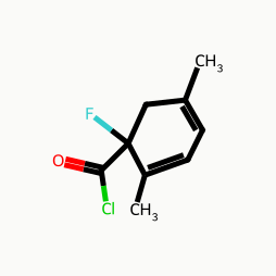 CC1=CC=C(C)C(F)(C(=O)Cl)C1